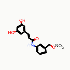 O=C(/C=C/c1cc(O)cc(O)c1)Nc1cccc(CO[N+](=O)[O-])c1